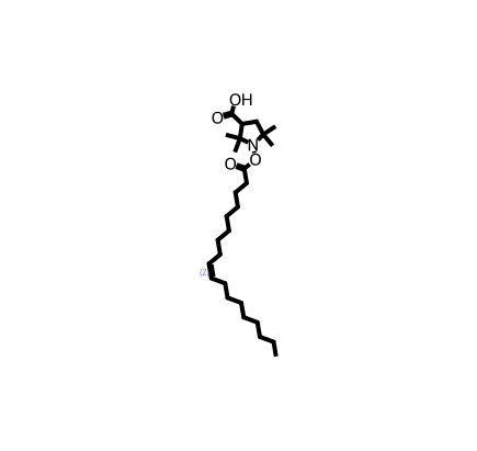 CCCCCCCC/C=C\CCCCCCCC(=O)ON1C(C)(C)CC(C(=O)O)C1(C)C